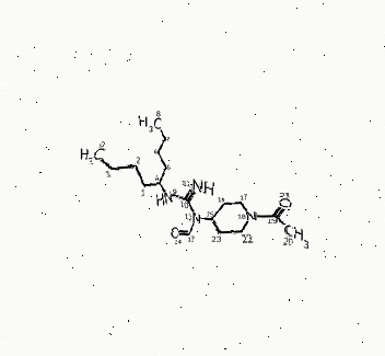 CCCCC(CCCC)NC(=N)N(C=O)C1CCN(C(C)=O)CC1